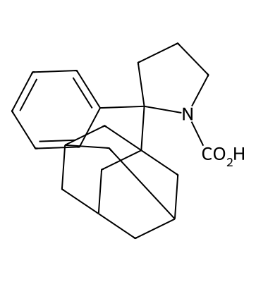 O=C(O)N1CCCC1(c1ccccc1)C12CC3CC(CC(C3)C1)C2